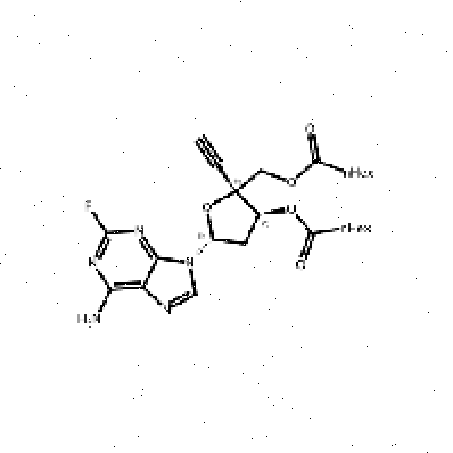 C#C[C@]1(COC(=O)CCCCCC)O[C@@H](n2cnc3c(N)nc(F)nc32)C[C@@H]1OC(=O)CCCCCC